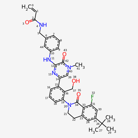 C=CC(=O)NCc1cccc(Nc2nc(-c3cccc(N4CCc5cc(C(C)(C)C)cc(F)c5C4=O)c3CO)cn(C)c2=O)c1